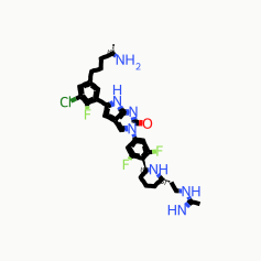 CC(=N)NCC[C@@H]1CCC[C@@H](c2c(F)cc(-n3cc4cc(-c5cc(CCC[C@H](C)N)cc(Cl)c5F)[nH]c4nc3=O)cc2F)N1